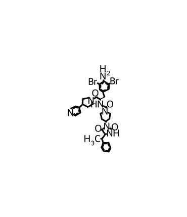 CC(c1ccccc1)C1NC(=O)N(C2CCN(C(=O)N[C@H](Cc3cc(Br)c(N)c(Br)c3)C(=O)N3CCC(c4ccncc4)CC3)CC2)C1=O